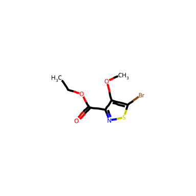 CCOC(=O)c1nsc(Br)c1OC